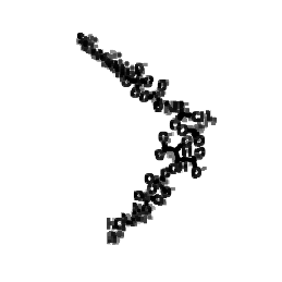 CC(=O)[O-].Cl.N.O=C([O-])C(O)C(O)C(=O)[O-].O=C[O-].O=S(=O)([O-])[O-].O=S(=O)([O-])[O-].O=[N+]([O-])[O-].O=[N+]([O-])[O-].[Br-].[Cl-].[Cl-].[K+].[Li+].[Mg+2].[Na+].[Na+].[Na+].[Na+].[Na+].[Na+].[Na+].[Sr+2]